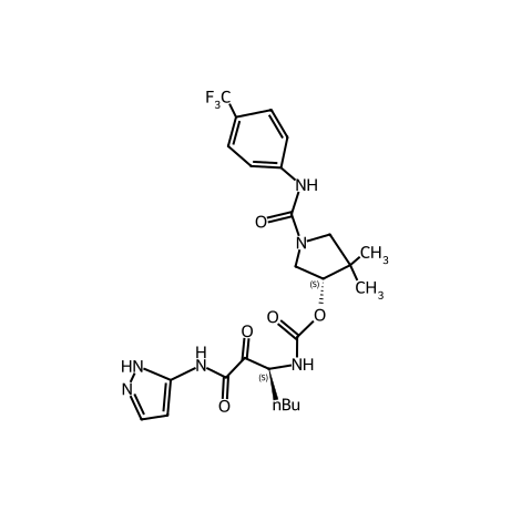 CCCC[C@H](NC(=O)O[C@@H]1CN(C(=O)Nc2ccc(C(F)(F)F)cc2)CC1(C)C)C(=O)C(=O)Nc1ccn[nH]1